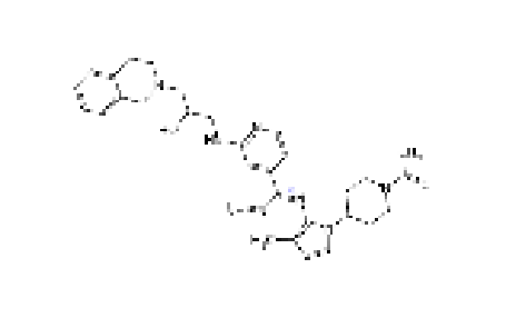 C=N/C(=N\c1c(C)ccn1C1CCN(C(C)=O)CC1)c1ccnc(NCC(O)CN2CCc3ccccc3C2)c1